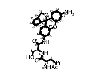 CC(=O)N[C@@H](CC(C)C)C(=O)N[C@@H](CO)C(=O)Nc1ccc2c(c1)Oc1cc(N)ccc1C21OCc2ccccc21